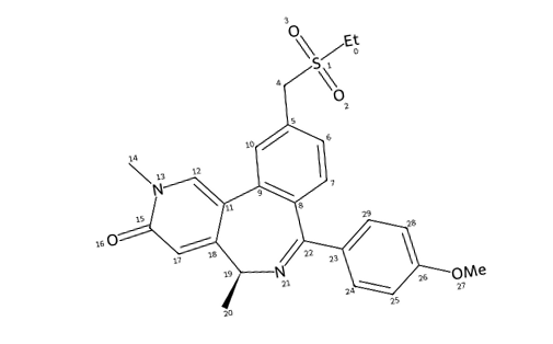 CCS(=O)(=O)Cc1ccc2c(c1)-c1cn(C)c(=O)cc1[C@H](C)N=C2c1ccc(OC)cc1